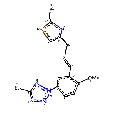 CCc1nnn(-c2ccc(OC)c(/C=C/Cc3csc(C(C)C)n3)c2)n1